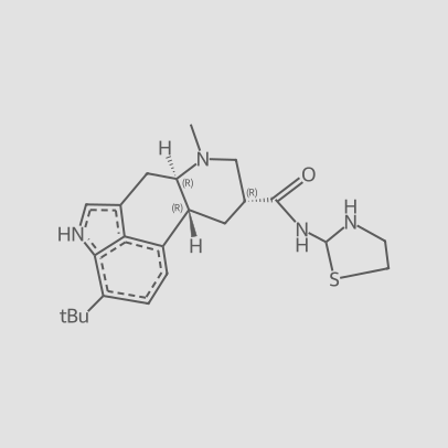 CN1C[C@H](C(=O)NC2NCCS2)C[C@@H]2c3ccc(C(C)(C)C)c4[nH]cc(c34)C[C@H]21